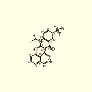 CC(C)n1c(=O)n(-c2cncc3ccccc23)c(=O)c2cc(C(F)(F)F)ccc21